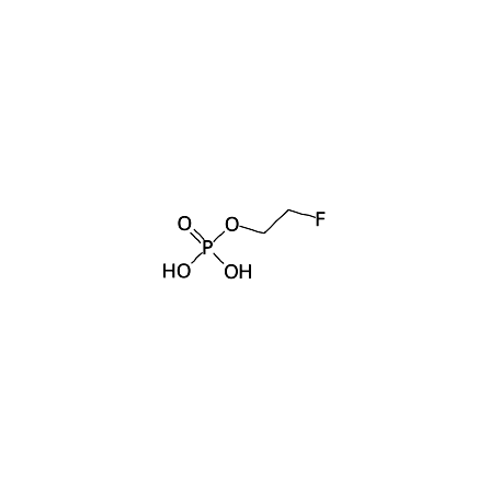 O=P(O)(O)OCCF